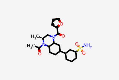 CC(=O)N1C2CCC(C3CCCC(S(N)(=O)=O)C3)CC2N(C(=O)c2ccco2)C[C@@H]1C